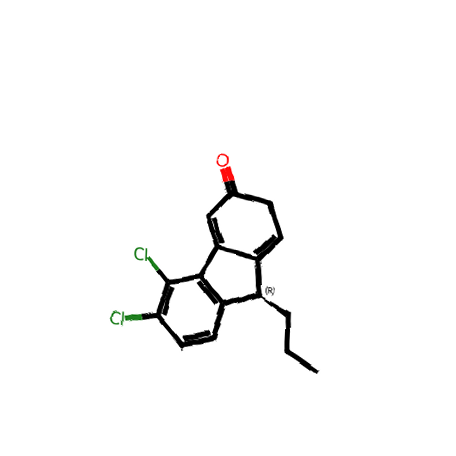 CCC[C@@H]1C2=CCC(=O)C=C2c2c1c[c]c(Cl)c2Cl